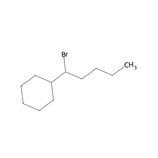 CCCCC(Br)C1CCCCC1